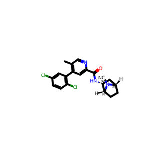 Cc1cnc(C(=O)N[C@@H]2C[C@@H]3CC[C@H]2N3C#N)cc1-c1cc(Cl)ccc1Cl